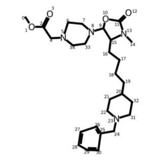 COC(=O)CN1CCN(C2OC(=O)N(C)C2CCCCC2CCN(Cc3ccccc3)CC2)CC1